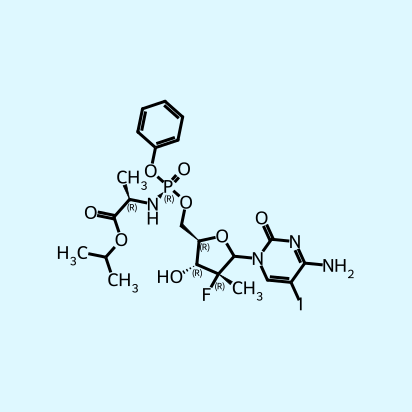 CC(C)OC(=O)[C@@H](C)N[P@@](=O)(OC[C@H]1OC(n2cc(I)c(N)nc2=O)[C@](C)(F)[C@@H]1O)Oc1ccccc1